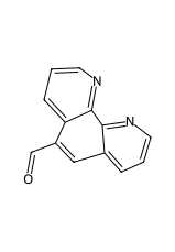 O=Cc1cc2cccnc2c2ncccc12